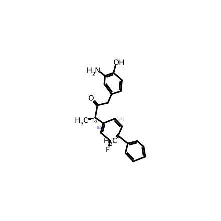 C=C(/C=C\C(=C/CF)[C@@H](C)C(=O)Cc1ccc(O)c(N)c1)c1ccccc1